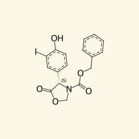 O=C1OCN(C(=O)OCc2ccccc2)[C@H]1c1ccc(O)c(I)c1